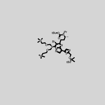 CC(C)N(C(=O)OC(C)(C)C)[C@H](C)CCc1nc2c(-c3cnc(CO[Si](C)(C)C(C)(C)C)s3)cnn2c(N(COCC[Si](C)(C)C)COCC[Si](C)(C)C)c1Br